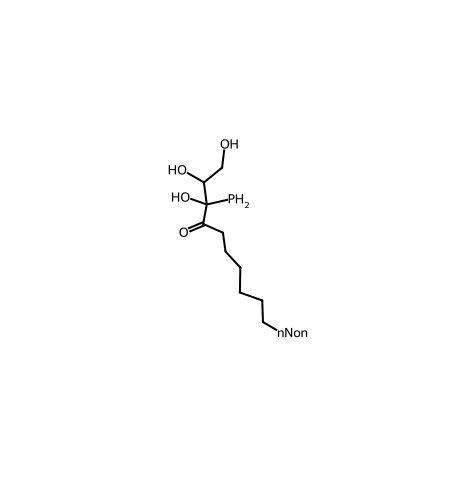 CCCCCCCCCCCCCCCC(=O)C(O)(P)C(O)CO